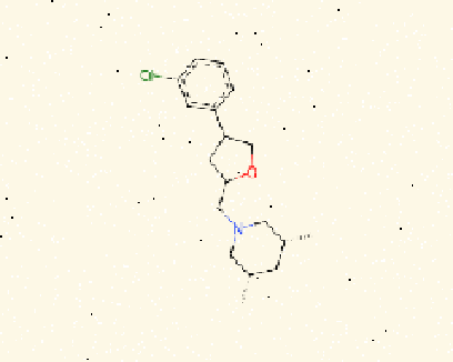 C[C@@H]1C[C@H](C)CN(CC2CC(c3cccc(Cl)c3)CO2)C1